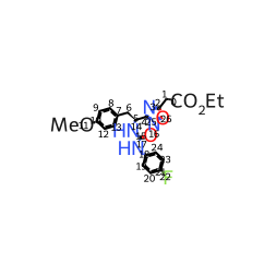 CCOC(=O)Cc1nc([C@H](Cc2ccc(OC)cc2)NC(=O)Nc2ccc(F)cc2)no1